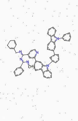 C=N/C(=N\C(=N/CC1=CCCC=C1)c1ccnc(-c2ccc3c4ccccc4n(-c4cccc(-c5ccc6c7ccccc7n(-c7ccccc7)c6c5)c4)c3c2)c1)c1ccccc1